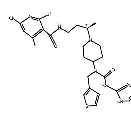 Cc1cc(Cl)nc(Cl)c1C(=O)NCC[C@@H](C)N1CCC(N(Cc2ccsc2)C(=O)Nc2ncc[nH]2)CC1